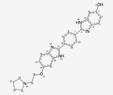 Oc1ccc2nc(-c3ccc(-c4nc5ccc(OCCN6CCCC6)cc5[nH]4)cc3)[nH]c2c1